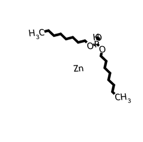 CCCCCCCCO[PH](=O)OCCCCCCCC.[Zn]